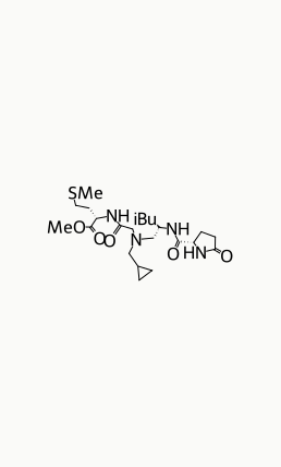 CC[C@H](C)[C@@H](CN(CC(=O)N[C@@H](CCSC)C(=O)OC)CC1CC1)NC(=O)[C@@H]1CCC(=O)N1